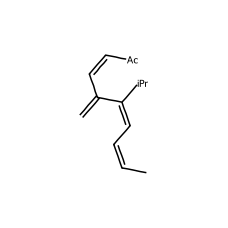 C=C(/C=C\C(C)=O)/C(=C\C=C/C)C(C)C